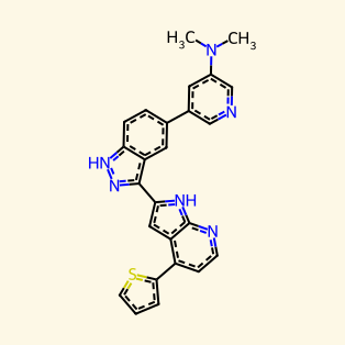 CN(C)c1cncc(-c2ccc3[nH]nc(-c4cc5c(-c6cccs6)ccnc5[nH]4)c3c2)c1